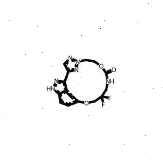 O=C1NCC(F)(F)COc2ccc3[nH]nc(c3c2)-c2cnn(n2)CCO1